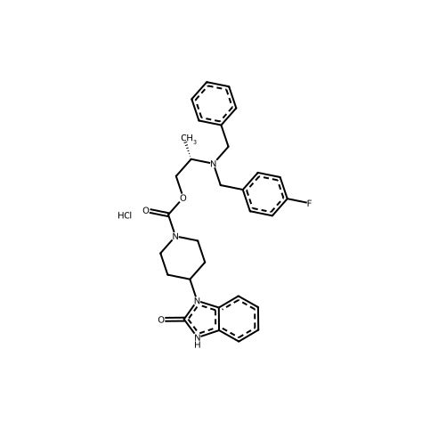 C[C@@H](COC(=O)N1CCC(n2c(=O)[nH]c3ccccc32)CC1)N(Cc1ccccc1)Cc1ccc(F)cc1.Cl